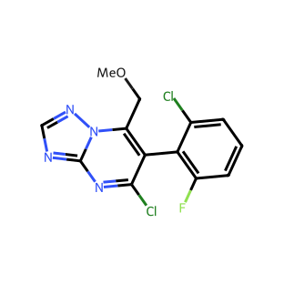 COCc1c(-c2c(F)cccc2Cl)c(Cl)nc2ncnn12